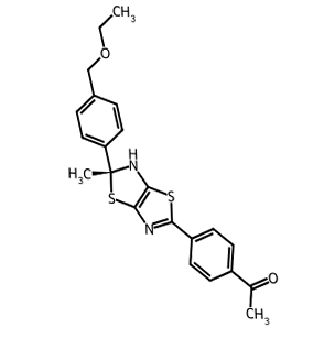 CCOCc1ccc([C@]2(C)Nc3sc(-c4ccc(C(C)=O)cc4)nc3S2)cc1